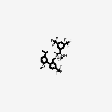 COc1ccc(C(C)C)cc1-c1ccc(C(F)(F)F)cc1CN[C@@H](C)[C@H](NC=O)c1cc(C(F)(F)F)cc(C(F)(F)F)c1